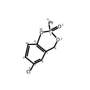 CC(C)P1(=O)OCc2cc(Cl)ccc2O1